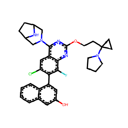 Oc1cc(-c2c(Cl)cc3c(N4CC5CCC(C4)N5)nc(OCCC4(N5CCCC5)CC4)nc3c2F)c2ccccc2c1